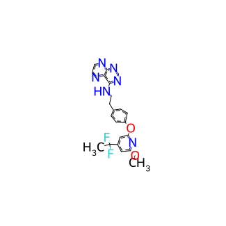 COc1cc(C(C)(F)F)cc(Oc2ccc(CCNc3ncnc4nccnc34)cc2)n1